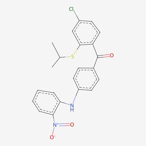 CC(C)Sc1cc(Cl)ccc1C(=O)c1ccc(Nc2ccccc2[N+](=O)[O-])cc1